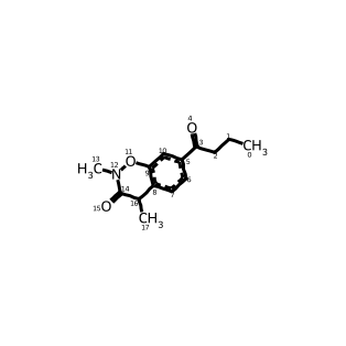 CCCC(=O)c1ccc2c(c1)ON(C)C(=O)C2C